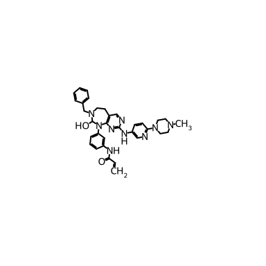 C=CC(=O)Nc1cccc(N2c3nc(Nc4ccc(N5CCN(C)CC5)nc4)ncc3CCN(Cc3ccccc3)C2O)c1